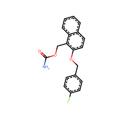 NC(=O)OCc1c(OCc2ccc(F)cc2)ccc2ccccc12